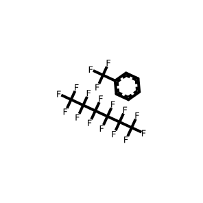 FC(F)(F)C(F)(F)C(F)(F)C(F)(F)C(F)(F)C(F)(F)F.FC(F)(F)c1ccccc1